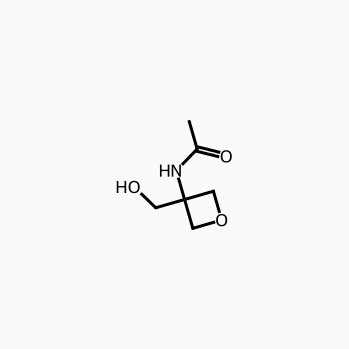 CC(=O)NC1(CO)COC1